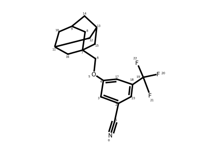 N#Cc1cc(OCC23CC4CC(CC(C4)C2)C3)cc(C(F)(F)F)c1